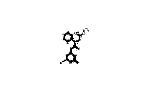 COC(=O)CN(C(=O)Cc1cc(F)cc(F)c1)c1ccccc1